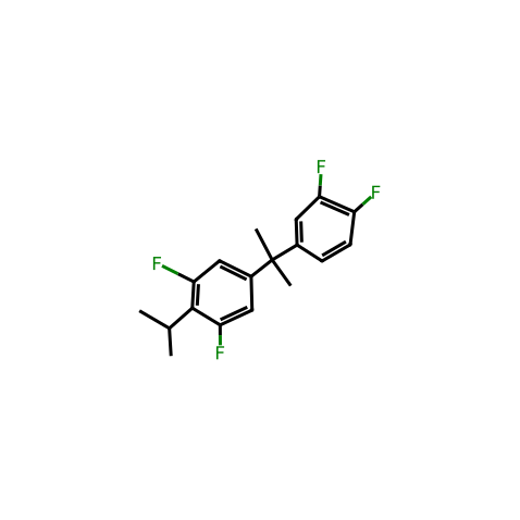 CC(C)c1c(F)cc(C(C)(C)c2ccc(F)c(F)c2)cc1F